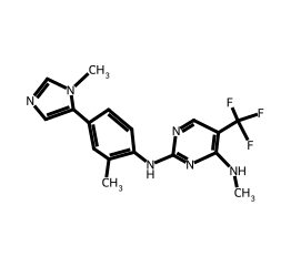 CNc1nc(Nc2ccc(-c3cncn3C)cc2C)ncc1C(F)(F)F